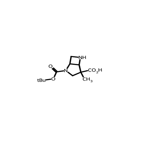 CC(C)(C)OC(=O)N1CC(C)(C(=O)O)C2NCC21